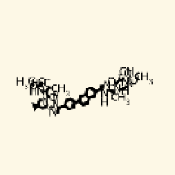 CC[C@H](NC(=O)OC)C(=O)N(CC#N)[C@@H](C)c1ncc(-c2ccc3cc(-c4ccc(-c5cnc([C@@H]6CC7(CC7)CN6C(=O)[C@@H](NC(=O)OC)C(C)C)[nH]5)cc4)ccc3c2)[nH]1